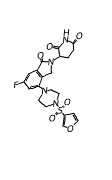 O=C1CCC(N2Cc3c(cc(F)cc3N3CCN(S(=O)(=O)c4ccoc4)CC3)C2=O)C(=O)N1